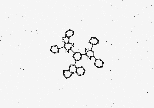 c1ccc(-c2cc(-c3ccccc3)nc(-c3cc(-c4nc(-c5ccccc5)c5sc6ccccc6c5n4)cc(-c4cc5ccccc5c5ccccc45)c3)n2)cc1